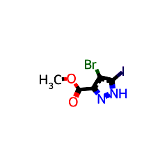 COC(=O)c1n[nH]c(I)c1Br